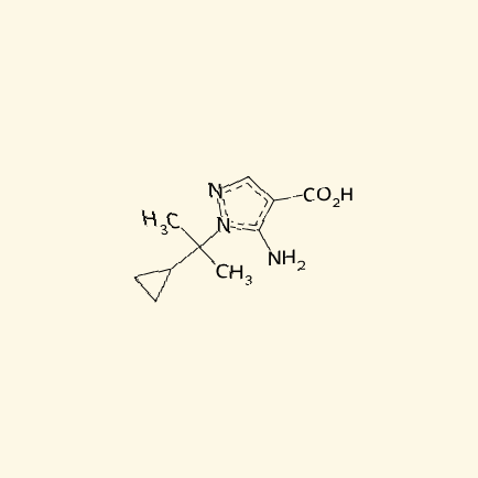 CC(C)(C1CC1)n1ncc(C(=O)O)c1N